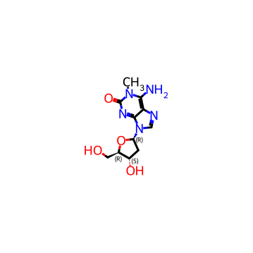 Cn1c(N)c2ncn([C@H]3C[C@H](O)[C@@H](CO)O3)c2nc1=O